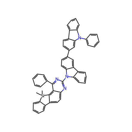 C[Si]1(C)c2ccccc2-c2ccc3nc(-n4c5ccccc5c5cc(-c6ccc7c8ccccc8n(-c8ccccc8)c7c6)ccc54)nc(-c4ccccc4)c3c21